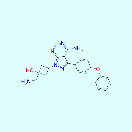 NCC1(O)CC(n2nc(-c3ccc(Oc4ccccc4)cc3)c3c(N)ncnc32)C1